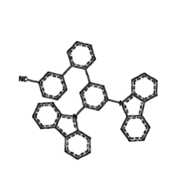 N#Cc1cccc(-c2ccccc2-c2cc(-n3c4ccccc4c4ccccc43)cc(-n3c4ccccc4c4ccccc43)c2)c1